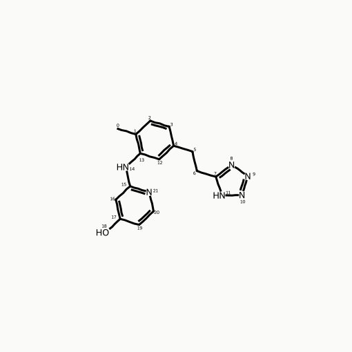 Cc1ccc(CCc2nnn[nH]2)cc1Nc1cc(O)ccn1